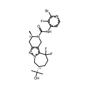 C[C@@H]1Cc2nn3c(c2CN1C(=O)Nc1ccnc(Br)c1F)C(F)(F)CC[C@H](C(C)(C)O)C3